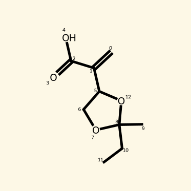 C=C(C(=O)O)C1COC(C)(CC)O1